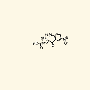 Nc1ccc([N+](=O)[O-])cc1C(=O)CC[C@@H](N)C(=O)O